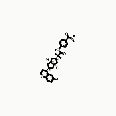 CN(C)C(=O)c1ccc(NC(=O)C(C)(C)[C@H]2C[C@H]3C[C@@H](c4ccnc5ccc(F)cc45)C[C@H]3C2)cc1